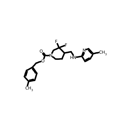 Cc1ccc(COC(=O)N2CCC(CNc3ccc(C)cn3)C(F)(F)C2)cc1